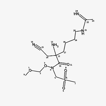 COCON(CS(C)(=O)=O)C(=O)C(N)(CC#N)CCCCNC(C)=N